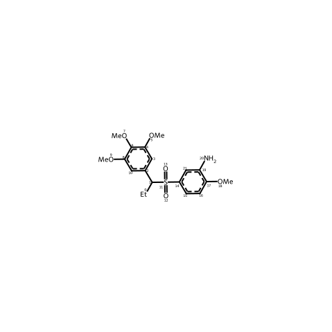 CCC(c1cc(OC)c(OC)c(OC)c1)S(=O)(=O)c1ccc(OC)c(N)c1